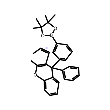 C/C=C\C1=C(C)Oc2ccccc2C1(c1ccccc1)c1cccc(B2OC(C)(C)C(C)(C)O2)c1